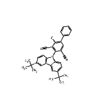 CC(C)(C)c1ccc2c(c1)c1cc(C(C)(C)C)ccc1n2-c1c(C#N)cc(-c2ccccc2)c(F)c1C#N